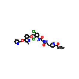 CNC(=O)c1ccc(CCC(=O)NCC(=O)N(C)c2ccc(Cl)c(COc3cccc4c(OCc5ccccn5)cc(C)nc34)c2Cl)cn1